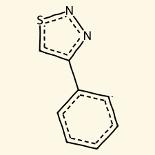 [c]1ccccc1-c1csnn1